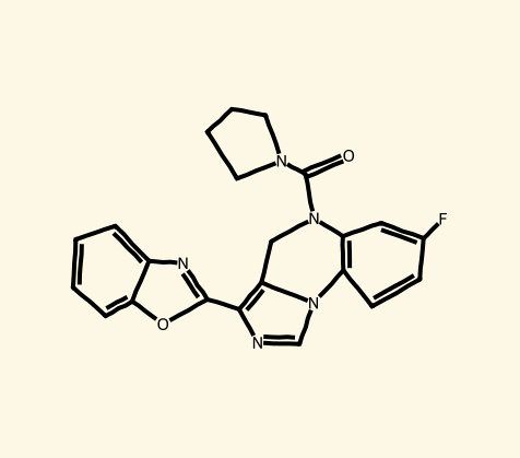 O=C(N1CCCC1)N1Cc2c(-c3nc4ccccc4o3)ncn2-c2ccc(F)cc21